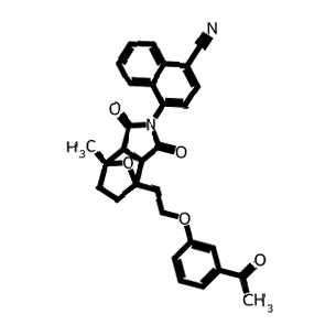 CC(=O)c1cccc(OCCC23CCC(C)(O2)C2C(=O)N(c4ccc(C#N)c5ccccc45)C(=O)C23)c1